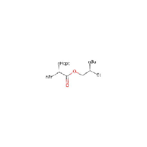 CCCCCCCC(CCC)C(=O)OCC(CC)CCCC